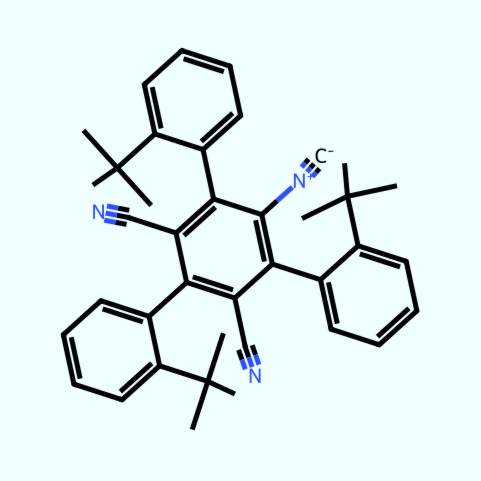 [C-]#[N+]c1c(-c2ccccc2C(C)(C)C)c(C#N)c(-c2ccccc2C(C)(C)C)c(C#N)c1-c1ccccc1C(C)(C)C